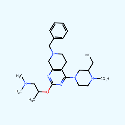 CC(CN(C)C)Oc1nc2c(c(N3CCN(C(=O)O)C(CC#N)C3)n1)CCN(Cc1ccccc1)C2